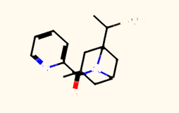 COC(C)C12CC(C)CC(C1)N2C(=O)c1ccccn1